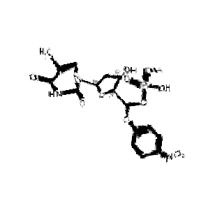 Cc1cn([C@H]2C[C@H](O)[C@@H](C(Oc3ccc([N+](=O)[O-])cc3)OP(=O)(O)O)O2)c(=O)[nH]c1=O